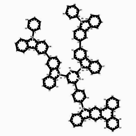 c1ccc(-n2c3ccccc3c3cc(-c4ccc5c(c4)c4ccccc4n5-c4cc(-c5ccc(-n6c7ccccc7c7cc8c9ccccc9c9ccccc9c8cc76)cc5)nc(-n5c6ccccc6c6cc(-c7ccc8c(c7)c7ccccc7n8-c7ccccc7)ccc65)n4)ccc32)cc1